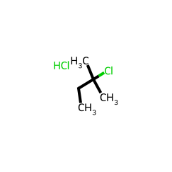 CCC(C)(C)Cl.Cl